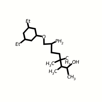 CCC1CC(CC)CC(OCC(P)CCC(C)(C)C(C)C(C)O)C1